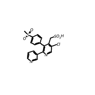 CS(=O)(=O)c1ccc(-c2c(-c3cccnc3)ncc(Cl)c2CS(=O)(=O)O)cc1